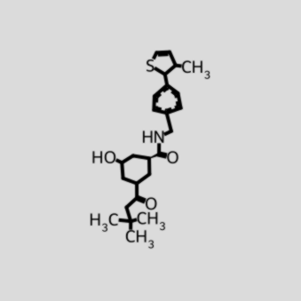 CC1C=CSC1c1ccc(CNC(=O)[C@@H]2CC(O)CC(C(=O)CC(C)(C)C)C2)cc1